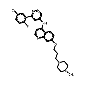 CN1CCN(CCCOc2ccc3c(Nc4cnnc(-c5cc(Cl)ccc5F)c4)ccnc3c2)CC1